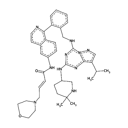 CC(C)c1cnn2c(NCc3ccccc3-c3nccc4cc(NC(=O)/C=C/CN5CCOCC5)ccc34)nc(NC3CCC(C)(C)NC3)nc12